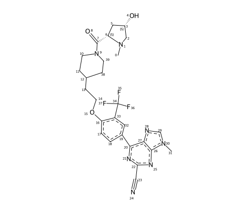 CN1C[C@@H](O)C[C@H]1C(=O)N1CCC(CCOc2ccc(-c3nc(C#N)nc4c3ncn4C)cc2C(F)(F)F)CC1